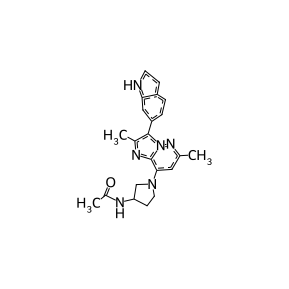 CC(=O)NC1CCN(c2cc(C)nn3c(-c4ccc5cc[nH]c5c4)c(C)nc23)C1